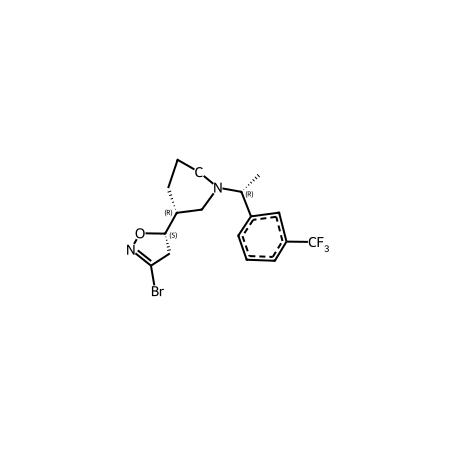 C[C@H](c1cccc(C(F)(F)F)c1)N1CCC[C@@H]([C@@H]2CC(Br)=NO2)C1